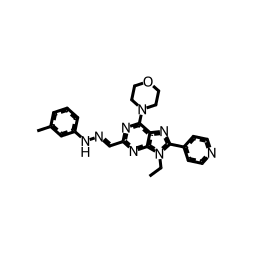 CCn1c(-c2ccncc2)nc2c(N3CCOCC3)nc(C=NNc3cccc(C)c3)nc21